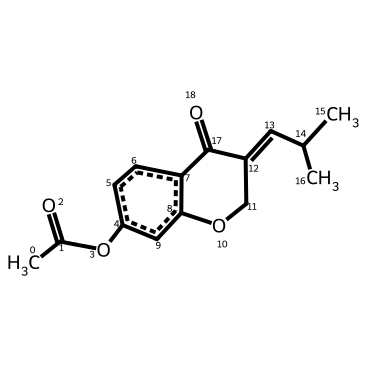 CC(=O)Oc1ccc2c(c1)OCC(=CC(C)C)C2=O